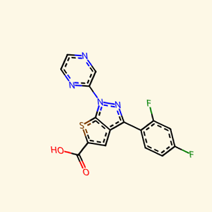 O=C(O)c1cc2c(-c3ccc(F)cc3F)nn(-c3cnccn3)c2s1